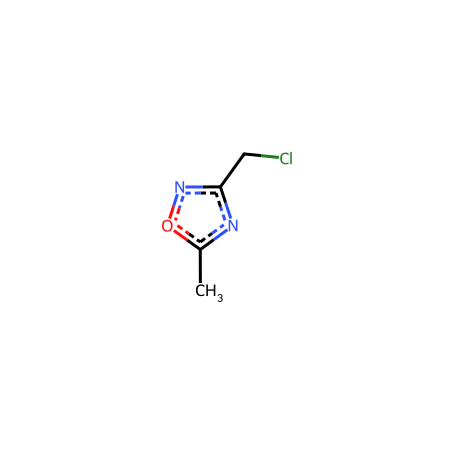 Cc1nc(CCl)no1